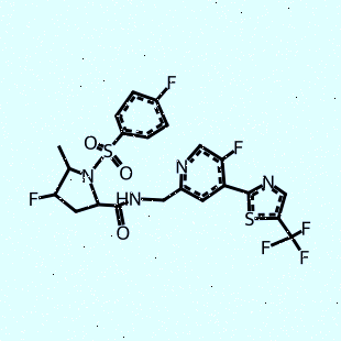 CC1C(F)CC(C(=O)NCc2cc(-c3ncc(C(F)(F)F)s3)c(F)cn2)N1S(=O)(=O)c1ccc(F)cc1